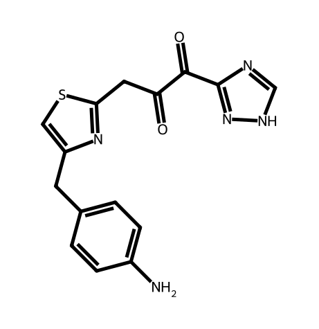 Nc1ccc(Cc2csc(CC(=O)C(=O)c3nc[nH]n3)n2)cc1